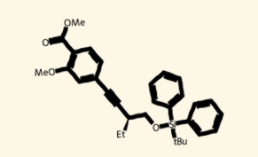 CC[C@@H](C#Cc1ccc(C(=O)OC)c(OC)c1)CO[Si](c1ccccc1)(c1ccccc1)C(C)(C)C